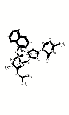 CC(C)OC(=O)[C@H](C)NP(=O)(OC[C@H]1S[C@@H](n2cnc(N)nc2=O)C[C@H]1O)Oc1cccc2ccccc12